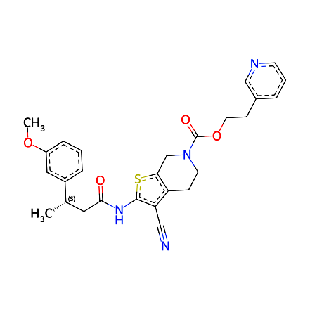 COc1cccc([C@@H](C)CC(=O)Nc2sc3c(c2C#N)CCN(C(=O)OCCc2cccnc2)C3)c1